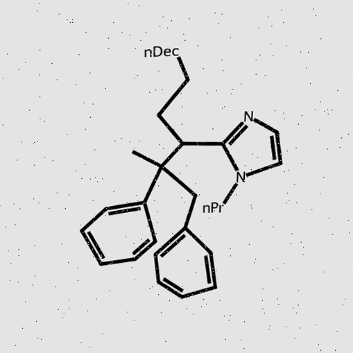 CCCCCCCCCCCCC(c1nccn1CCC)C(C)(Cc1ccccc1)c1ccccc1